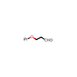 CC(C)OCC[C]=O